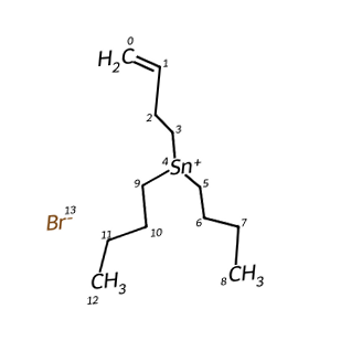 C=CC[CH2][Sn+]([CH2]CCC)[CH2]CCC.[Br-]